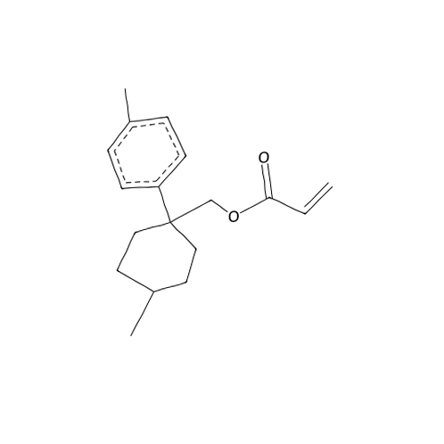 C=CC(=O)OCC1(c2ccc(C)cc2)CCC(C)CC1